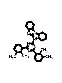 Cc1cccc(-c2nc(-c3cccc(C)c3C)nc(-n3c4ccccc4n4c5ccccc5nc34)n2)c1C